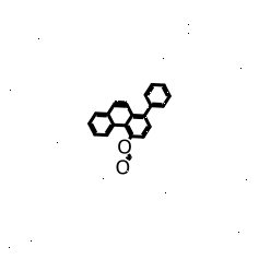 O=COc1ccc(-c2ccccc2)c2c#cc3ccccc3c12